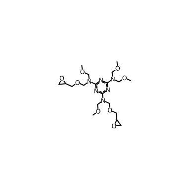 COCN(COC)c1nc(N(COC)COCC2CO2)nc(N(COC)COCC2CO2)n1